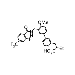 CCC(Cc1cccc(-c2ccc(OC)c(CNC(=O)c3ccc(C(F)(F)F)cc3F)c2)c1)C(=O)O